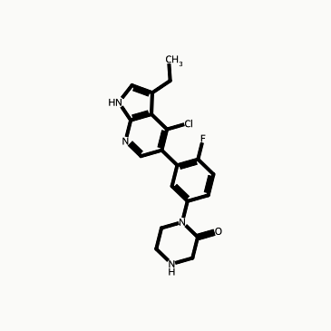 CCc1c[nH]c2ncc(-c3cc(N4CCNCC4=O)ccc3F)c(Cl)c12